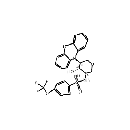 N=S(=O)(N[C@@H]1COC[C@H](N2c3ccccc3Oc3ccccc32)[C@H]1O)c1ccc(OC(F)(F)F)cc1